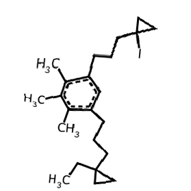 CCC1(CCCc2cc(CCCC3(I)CC3)c(C)c(C)c2C)CC1